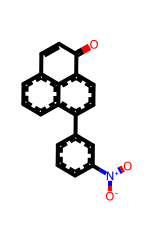 O=C1C=Cc2cccc3c(-c4cccc([N+](=O)[O-])c4)ccc1c23